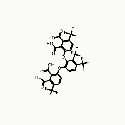 O=C(O)c1c(Oc2ccc(C(F)(F)F)c(C(F)(F)F)c2Oc2ccc(C(F)(F)F)c(C(=O)O)c2C(=O)O)ccc(C(F)(F)F)c1C(=O)O